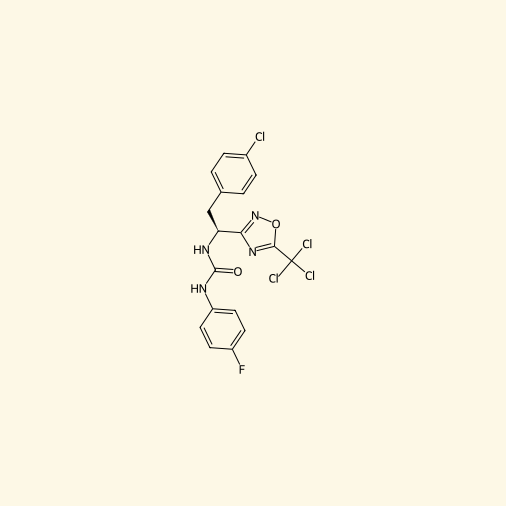 O=C(Nc1ccc(F)cc1)N[C@@H](Cc1ccc(Cl)cc1)c1noc(C(Cl)(Cl)Cl)n1